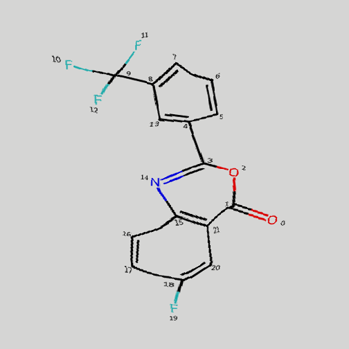 O=c1oc(-c2cccc(C(F)(F)F)c2)nc2ccc(F)cc12